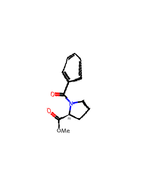 COC(=O)[C@@H]1CCCN1C(=O)c1ccccc1